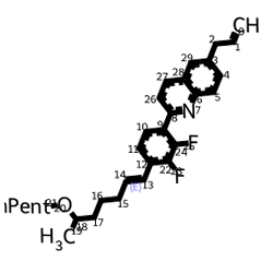 C=CCc1ccc2nc(-c3ccc(/C=C/CCCC(C)OCCCCC)c(F)c3F)ccc2c1